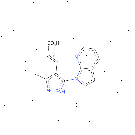 Cc1n[nH]c(-n2ccc3cccnc32)c1/C=C/C(=O)O